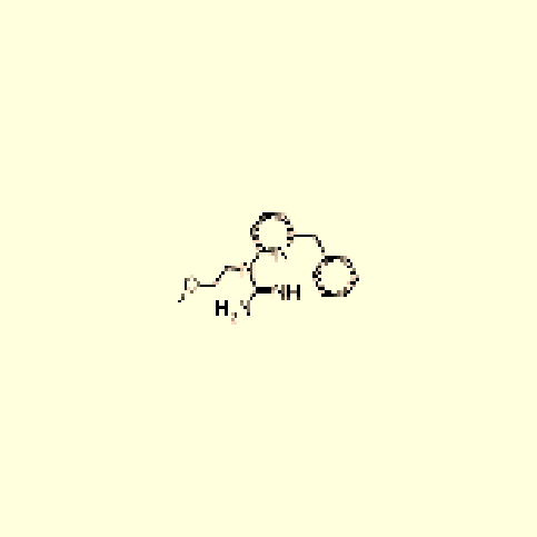 COCCN(C(=N)N)c1cccc(Cc2ccccc2)n1